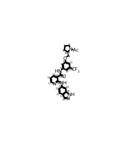 CC(=O)N1CCC[C@@H]1COc1cc(NC(=O)c2cccnc2Nc2ccc3cn[nH]c3c2)cc(C(F)(F)F)c1